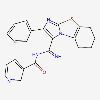 N=C(NC(=O)c1cccnc1)c1c(-c2ccccc2)nc2sc3c(n12)CCCC3